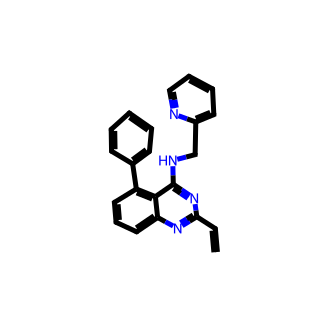 C=Cc1nc(NCc2ccccn2)c2c(-c3ccccc3)cccc2n1